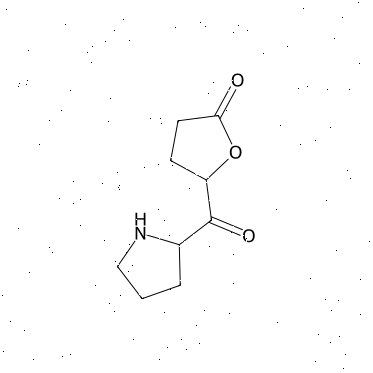 O=C1CCC(C(=O)C2CCCN2)O1